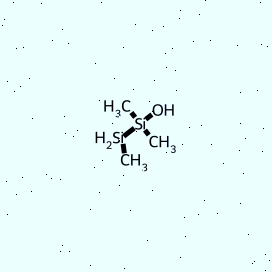 C[SiH2][Si](C)(C)O